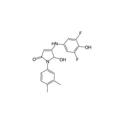 Cc1ccc(N2C(=O)C=C(Nc3cc(F)c(O)c(F)c3)C2O)cc1C